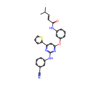 CC(C)/C=C/C(=O)Nc1cccc(Oc2cc(-c3cccs3)nc(Nc3cccc(C#N)c3)n2)c1